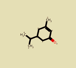 CC1=CC(=O)CC(C(C)C)C1